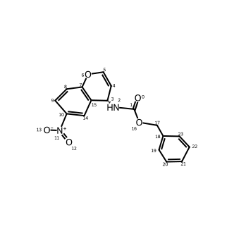 O=C(N[C@H]1C=COc2ccc([N+](=O)[O-])cc21)OCc1ccccc1